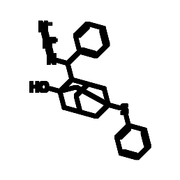 [N-]=[N+]=NC(c1ccccc1)C1C2CC3CC(Sc4ccccc4)(C2)CC1(O)C3